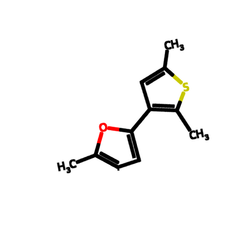 Cc1[c]cc(-c2cc(C)sc2C)o1